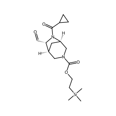 C[Si](C)(C)CCOC(=O)N1C[C@@H]2C[C@H](C1)N(C(=O)C1CC1)[C@H]2C=O